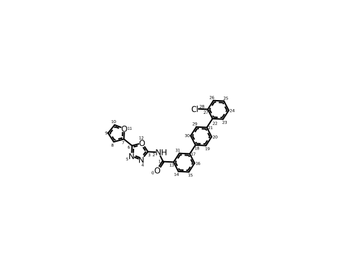 O=C(Nc1nnc(-c2ccco2)o1)c1cccc(-c2ccc(-c3ccccc3Cl)cc2)c1